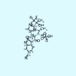 CC1CN(C(=O)c2c3ccc(C#N)cc3nn2C)Cc2cnc(C(C)(O)C(F)(F)F)n21.O=S(=O)(O)O